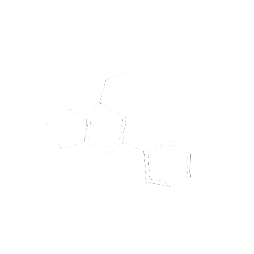 Cc1ccc(-c2cc(CBr)c3c(c2)CC=C3)cc1